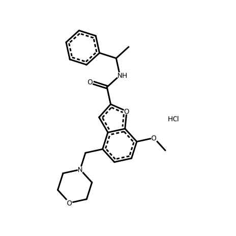 COc1ccc(CN2CCOCC2)c2cc(C(=O)NC(C)c3ccccc3)oc12.Cl